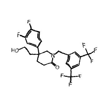 O=C1CCC(CCO)(c2ccc(F)c(F)c2)CN1Cc1cc(C(F)(F)F)cc(C(F)(F)F)c1